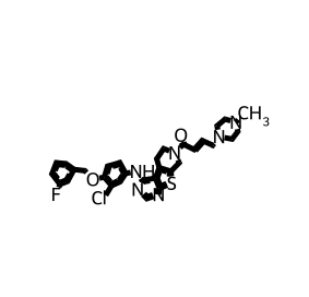 CN1CCN(CC=CC(=O)N2CCc3c(sc4ncnc(Nc5ccc(OCc6cccc(F)c6)c(Cl)c5)c34)C2)CC1